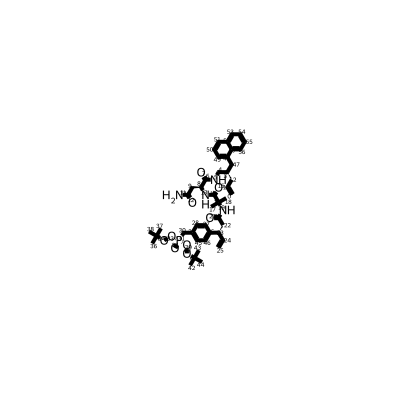 C=CC[C@H](CNC(=O)[C@H](CC(N)=O)NC(=O)C(C)(C)NC(=O)C[C@H](C=C)c1ccc(CP(=O)(OOC(C)(C)C)OOC(C)(C)C)cc1)Cc1cccc2ccccc12